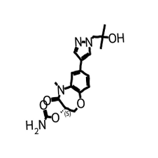 CN1C(=O)[C@@H](OC(N)=O)COc2ccc(-c3cnn(CC(C)(C)O)c3)cc21